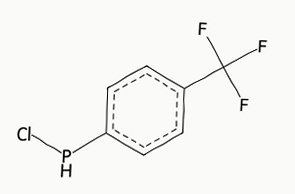 FC(F)(F)c1ccc(PCl)cc1